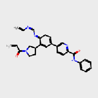 C=C/N=C\N=C1/CC=C(c2ccc(C(=O)Nc3ccccc3)nc2)C=C1C1CCN(C(=O)C=C)C1